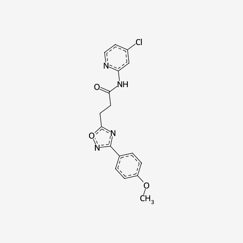 COc1ccc(-c2noc(CCC(=O)Nc3cc(Cl)ccn3)n2)cc1